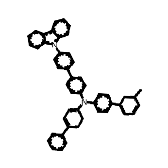 CC1C=CC=C(c2ccc(N(C3=CC=C(c4ccccc4)CC3)c3ccc(-c4ccc(-n5c6ccccc6c6ccccc65)cc4)cc3)cc2)C1